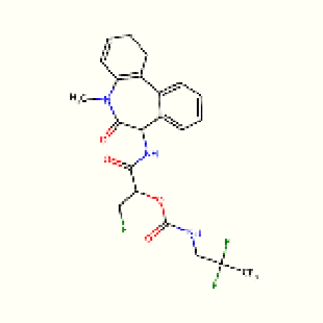 CN1C(=O)C(NC(=O)C(CF)OC(=O)NCC(F)(F)C(F)(F)F)c2ccccc2C2=C1C=CCC2